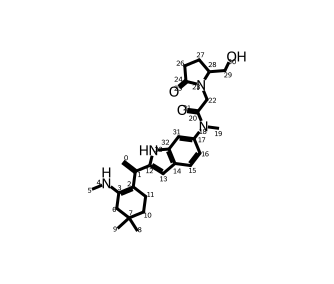 C=C(C1=C(NC)CC(C)(C)CC1)c1cc2ccc(N(C)C(=O)CN3C(=O)CCC3CO)cc2[nH]1